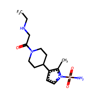 Cc1c(C2CCN(C(=O)CNCC(F)(F)F)CC2)ccn1S(N)(=O)=O